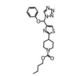 CCCCOC(=O)N1CCC(c2nc(C(Oc3ccccc3)n3cnnn3)cs2)CC1